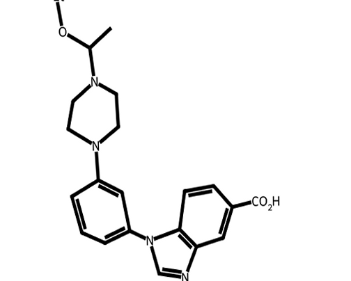 CCOC(C)N1CCN(c2cccc(-n3cnc4cc(C(=O)O)ccc43)c2)CC1